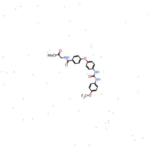 COC(=O)CNC(=O)c1ccc(Oc2ccc(NC(=O)Nc3ccc(OC(F)(F)F)cc3)cc2)cc1